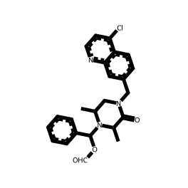 CC1CN(Cc2ccc3c(Cl)ccnc3c2)C(=O)C(C)N1C(OC=O)c1ccccc1